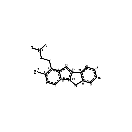 CN(C)CCc1c(Br)ccc2c1cc1n2Cc2ccccc2-1